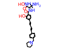 CC(C)(N)[C@H](NC(=O)c1ccc(C#CC#Cc2ccc(CN3CCCCC3)cc2)cc1O)C(=O)NO